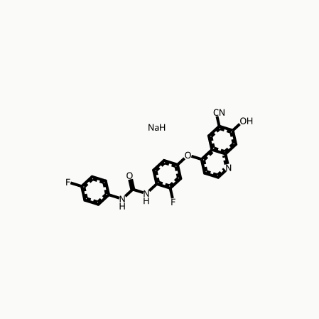 N#Cc1cc2c(Oc3ccc(NC(=O)Nc4ccc(F)cc4)c(F)c3)ccnc2cc1O.[NaH]